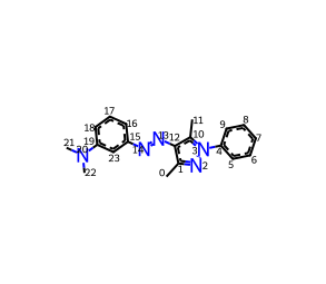 Cc1nn(-c2ccccc2)c(C)c1/N=N/c1cccc(N(C)C)c1